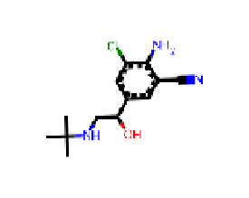 CC(C)(C)NCC(O)c1cc(Cl)c(N)c(C#N)c1